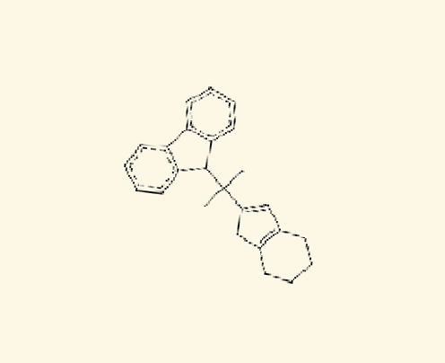 CC(C)(C1=CC2=C(CCCC2)C1)C1c2ccccc2-c2ccccc21